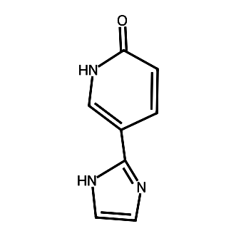 O=c1ccc(-c2ncc[nH]2)c[nH]1